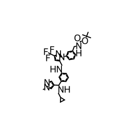 Cn1cc(C(NCC2CC2)c2cccc(NCc3cc(C(F)(F)F)nn3-c3cccc(CNC(=O)OC(C)(C)C)c3)c2)cn1